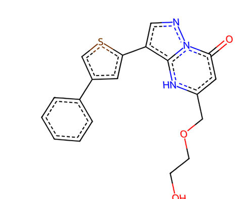 O=c1cc(COCCO)[nH]c2c(-c3cc(-c4ccccc4)cs3)cnn12